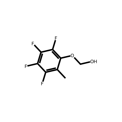 Cc1c(F)c(F)c(F)c(F)c1OCO